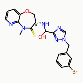 CN1C(=S)[C@@H](NC(O)c2ncn(Cc3cccc(Br)c3)n2)COc2cccnc21